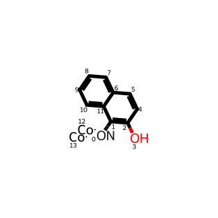 O=Nc1c(O)ccc2ccccc12.[Co].[Co]